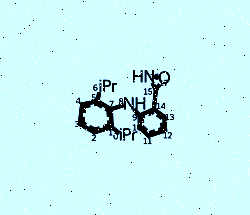 CC(C)c1cccc(C(C)C)c1Nc1ccccc1C1NO1